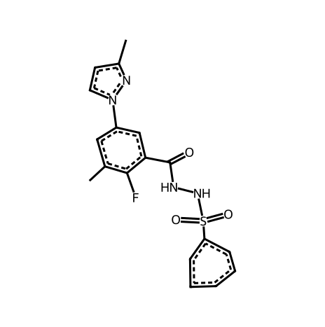 Cc1ccn(-c2cc(C)c(F)c(C(=O)NNS(=O)(=O)c3ccccc3)c2)n1